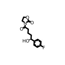 O=C(CCC[C@H](O)c1ccc(F)cc1)N1CCOC1=O